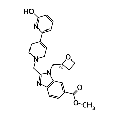 COC(=O)c1ccc2nc(CN3CC=C(c4cccc(O)n4)CC3)n(C[C@@H]3CCO3)c2c1